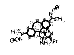 CC(C)c1nnc(C2(CCN)c3ccc(C(C)N=C=O)cc3CCc3cc(C(C)N=C=O)ccc32)o1